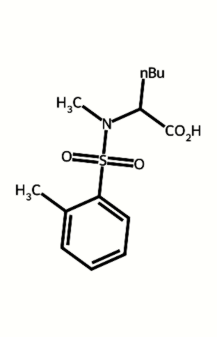 CCCCC(C(=O)O)N(C)S(=O)(=O)c1ccccc1C